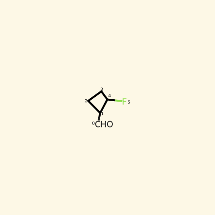 O=CC1CCC1F